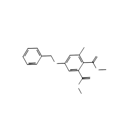 COC(=O)c1cc(OCc2ccccc2)cc(C)c1C(=O)OC